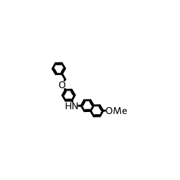 COc1ccc2cc(Nc3ccc(OCc4ccccc4)cc3)ccc2c1